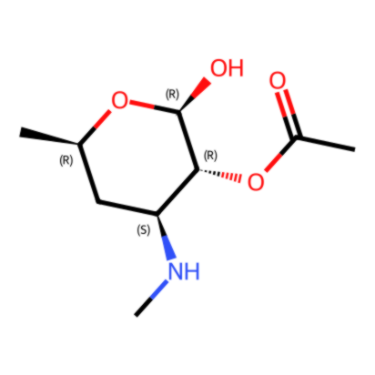 CN[C@H]1C[C@@H](C)O[C@@H](O)[C@@H]1OC(C)=O